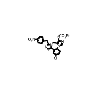 CCOC(=O)Oc1ncn2c1Cn1c(Cc3ccc([N+](=O)[O-])cc3)nnc1-c1cc(Cl)ccc1-2